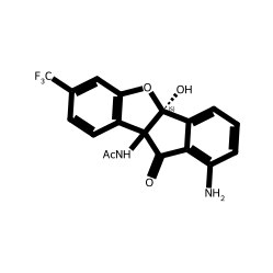 CC(=O)NC12C(=O)c3c(N)cccc3[C@]1(O)Oc1cc(C(F)(F)F)ccc12